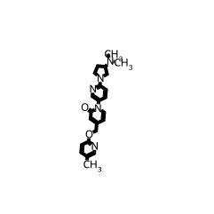 Cc1ccc(OCc2ccn(-c3ccc(N4CCC(N(C)C)C4)nc3)c(=O)c2)nc1